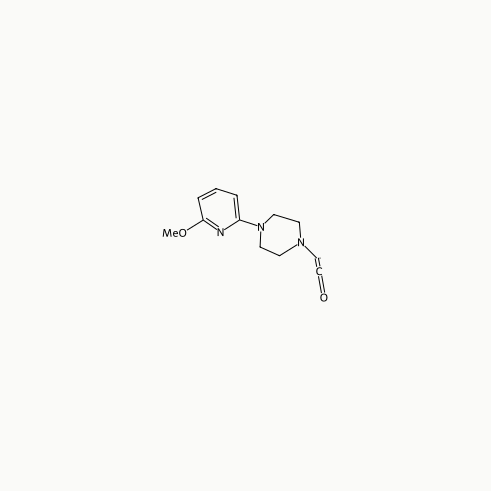 COc1cccc(N2CCN([C]=C=O)CC2)n1